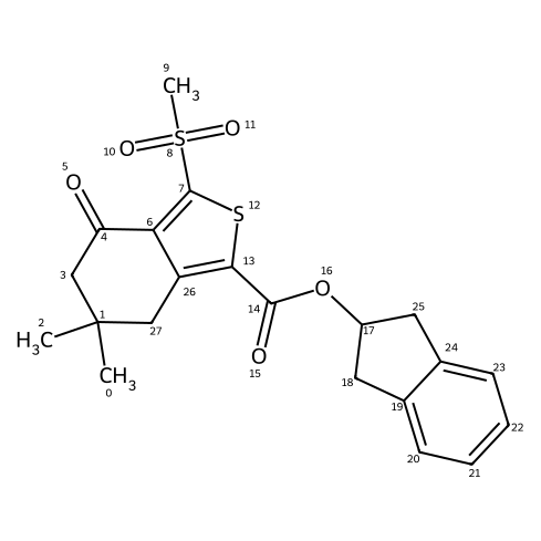 CC1(C)CC(=O)c2c(S(C)(=O)=O)sc(C(=O)OC3Cc4ccccc4C3)c2C1